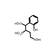 CCCCCCCCCCCCC(C(CCCCCCCC)c1ccccc1O)S(=O)(=O)O